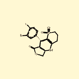 O=C1OCC2=C1[C@H](c1ccc(F)c(Br)c1)C1=C(CCCS1(=O)=O)N2